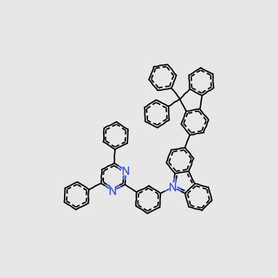 c1ccc(-c2cc(-c3ccccc3)nc(-c3cccc(-n4c5ccccc5c5cc(-c6ccc7c(c6)C(c6ccccc6)(c6ccccc6)c6ccccc6-7)ccc54)c3)n2)cc1